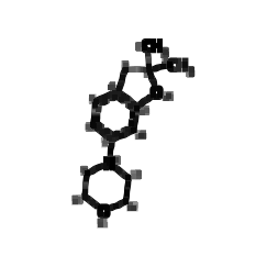 CC1(C)Cc2c[c]c(N3CCOCC3)cc2O1